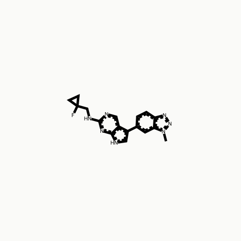 Cn1nnc2ccc(-c3c[nH]c4nc(NCC5(F)CC5)ncc34)cc21